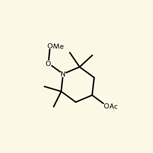 COON1C(C)(C)CC(OC(C)=O)CC1(C)C